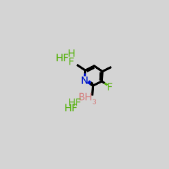 B.Cc1cc(C)c(F)c(C)n1.F.F.F.F